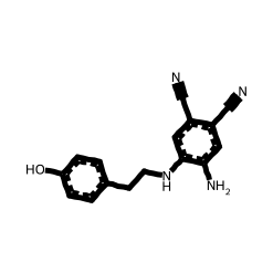 N#Cc1cc(N)c(NCCc2ccc(O)cc2)cc1C#N